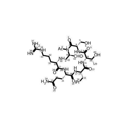 CC(=O)N(C(=O)[C@H](CO)NC(=O)[C@@H](NC(=O)[C@H](CC(C)C)NC(=O)[C@H](CCC(N)=O)NC(=O)[C@@H](N)CCCNC(=N)N)[C@@H](C)O)[C@H](C)[C]=O